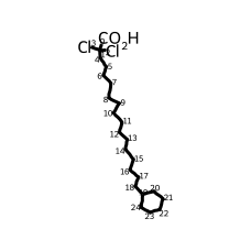 O=C(O)C(Cl)(Cl)CCCCCCCCCCCCCCCC1CCCCC1